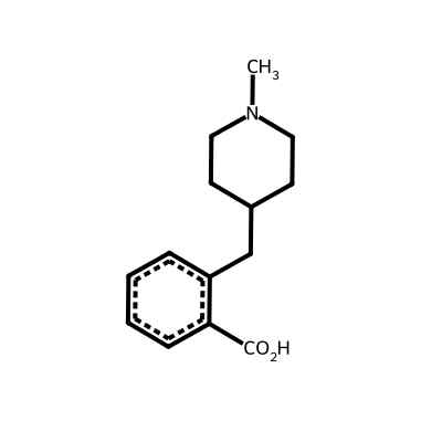 CN1CCC(Cc2ccccc2C(=O)O)CC1